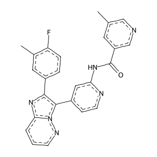 Cc1cncc(C(=O)Nc2cc(-c3c(-c4ccc(F)c(C)c4)nc4cccnn34)ccn2)c1